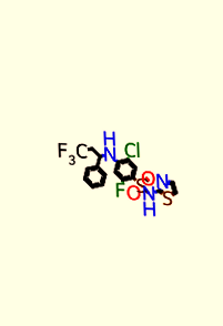 O=S(=O)(Nc1nccs1)c1cc(Cl)c(NC(CC(F)(F)F)c2ccccc2)cc1F